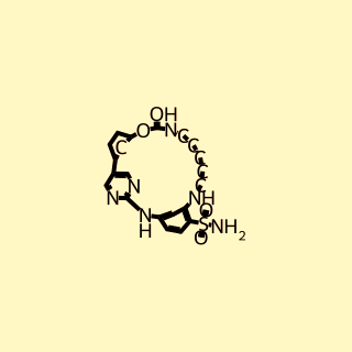 NS(=O)(=O)c1ccc2cc1NCCCCCNC(=O)OC1CCC(C1)c1cnc(nc1)N2